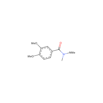 CNN(C)C(=O)c1ccc(OC)c(OC)c1